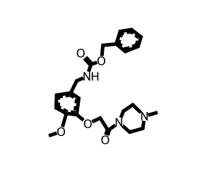 COc1ccc(CNC(=O)OCc2ccccc2)cc1OCC(=O)N1CCN(C)CC1